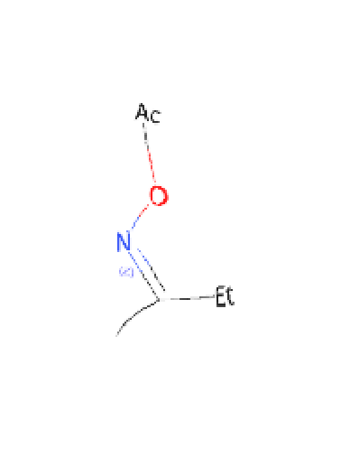 CC/C(C)=N\OC(C)=O